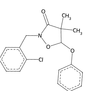 CC1(C)C(=O)N(Cc2ccccc2Cl)OC1Oc1ccccc1